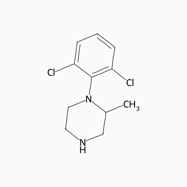 CC1CNCCN1c1c(Cl)cccc1Cl